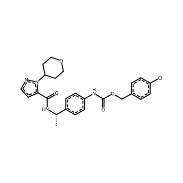 C[C@H](NC(=O)c1ccnn1C1CCOCC1)c1ccc(NC(=O)OCc2ccc(Cl)cc2)cc1